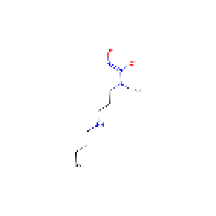 CCCCN(CCCNCCCC(C)C)/[N+]([O-])=N/O